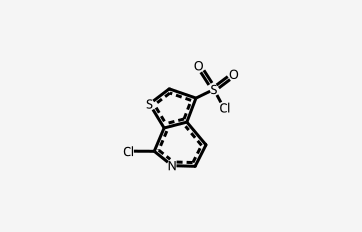 O=S(=O)(Cl)c1csc2c(Cl)nccc12